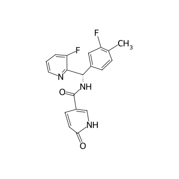 Cc1ccc([C@H](NC(=O)c2ccc(=O)[nH]c2)c2ncccc2F)cc1F